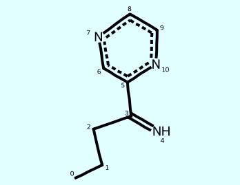 CCCC(=N)c1cnccn1